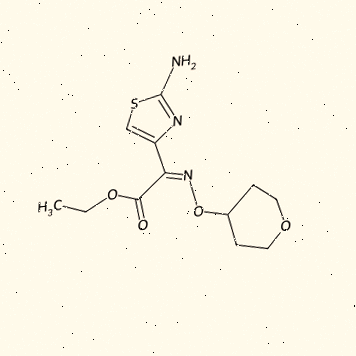 CCOC(=O)C(=NOC1CCOCC1)c1csc(N)n1